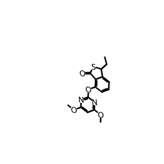 CCC1SC(=O)c2c(Oc3nc(OC)cc(OC)n3)cccc21